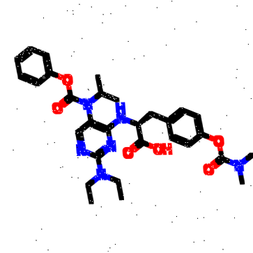 CCN(CC)c1ncc(N(C(=O)Oc2ccccc2)C(C)C)c(N[C@@H](Cc2ccc(OC(=O)N(C)C)cc2)C(=O)O)n1